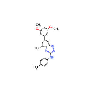 COc1cc(OC)cc(-c2cc(C)c3nc(Nc4ccc(C)cc4)nnc3c2)c1